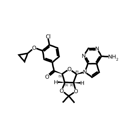 CC1(C)O[C@@H]2[C@H](O1)[C@@H](C(=O)c1ccc(Cl)c(OC3CC3)c1)O[C@H]2n1ccc2c(N)ncnc21